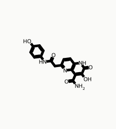 NC(=O)c1c(O)c(=O)[nH]c2ccc(CC(=O)Nc3ccc(O)cc3)nc12